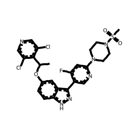 CC(Oc1ccc2[nH]nc(-c3cnc(N4CCN(S(C)(=O)=O)CC4)cc3F)c2c1)c1c(Cl)cncc1Cl